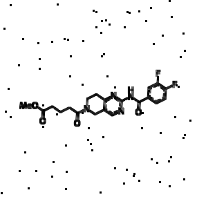 COC(=O)CCCC(=O)N1CCc2nc(NC(=O)c3ccc(F)c(F)c3)ncc2C1